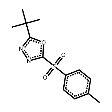 Cc1ccc(S(=O)(=O)c2nnc(C(C)(C)C)o2)cc1